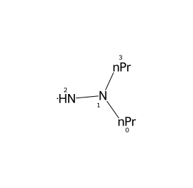 CCCN([NH])CCC